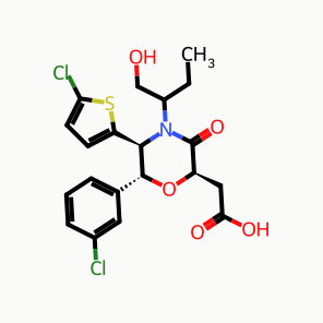 CCC(CO)N1C(=O)[C@@H](CC(=O)O)O[C@H](c2cccc(Cl)c2)[C@H]1c1ccc(Cl)s1